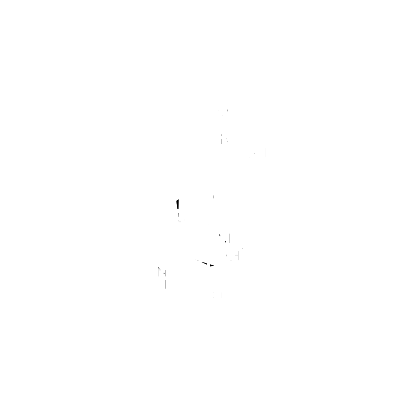 NC(=O)[C@@]1(CCCB(O)O)CCN[C@@H]1C(=O)O